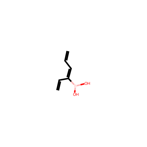 C=C/C=C(\C=C)B(O)O